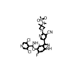 CN(C1(C)CN(c2ncc(-c3n[nH]c4cc(F)c(O[C@H](N)c5c(Cl)cncc5Cl)cc34)cc2C#N)C1)S(C)(=O)=O